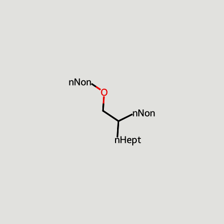 CCCCCCCCCOCC(CCCCCCC)CCCCCCCCC